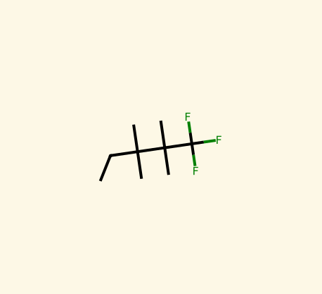 CCC(C)(C)C(C)(C)C(F)(F)F